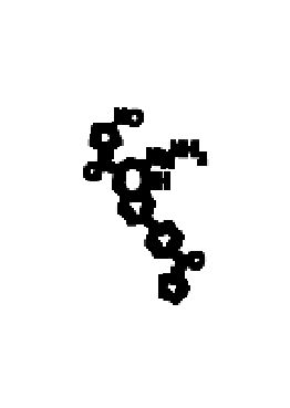 NN=NC1CC(C(=O)N2CC[C@H](N=O)C2)=Cc2ccc(-c3ccc(C(=O)N4CCCC4)cc3)cc2N1